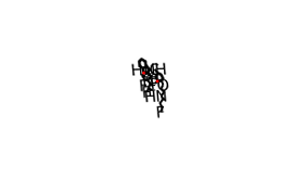 Cc1ccc(OCCNCCCF)c(F)c1[C@@H]1c2[nH]c3ccccc3c2CCN1CC(F)(F)F